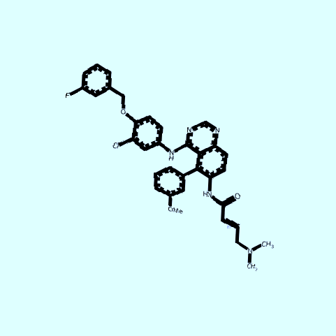 COc1cccc(-c2c(NC(=O)/C=C/CN(C)C)ccc3ncnc(Nc4ccc(OCc5cccc(F)c5)c(Cl)c4)c23)c1